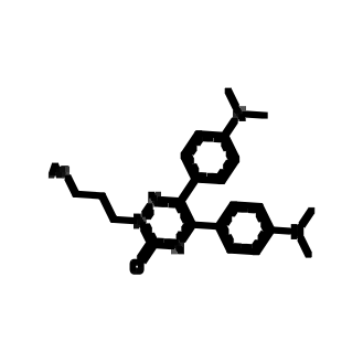 CC(=O)CCCn1nc(-c2ccc(N(C)C)cc2)c(-c2ccc(N(C)C)cc2)nc1=O